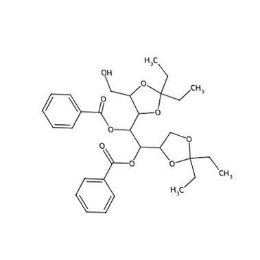 CCC1(CC)OCC(C(OC(=O)c2ccccc2)C(OC(=O)c2ccccc2)C2OC(CC)(CC)OC2CO)O1